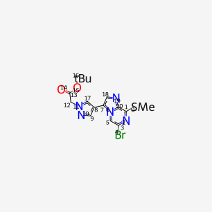 CSc1nc(Br)cn2c(-c3cnn(CC(=O)OC(C)(C)C)c3)cnc12